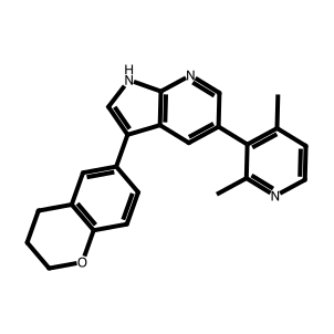 Cc1ccnc(C)c1-c1cnc2[nH]cc(-c3ccc4c(c3)CCCO4)c2c1